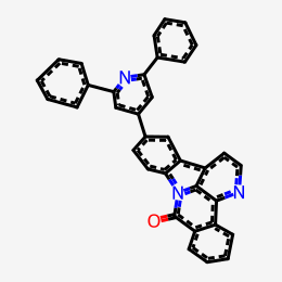 O=c1c2ccccc2c2nccc3c4cc(-c5cc(-c6ccccc6)nc(-c6ccccc6)c5)ccc4n1c32